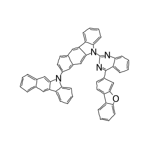 c1ccc2cc3c(cc2c1)c1ccccc1n3-c1ccc2cc3c4ccccc4n(-c4nc(-c5ccc6c(c5)oc5ccccc56)c5ccccc5n4)c3cc2c1